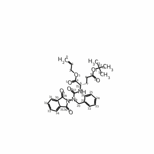 C=CCOC(=O)[C@H](CCC(=O)OC(C)(C)C)NC(=O)N(Cc1ccccc1)N1C(=O)c2ccccc2C1=O